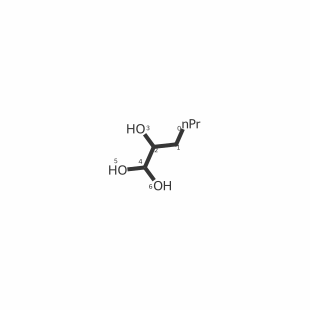 CCCCC(O)C(O)O